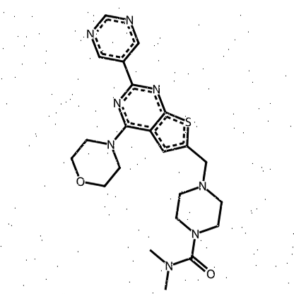 CN(C)C(=O)N1CCN(Cc2cc3c(N4CCOCC4)nc(-c4cncnc4)nc3s2)CC1